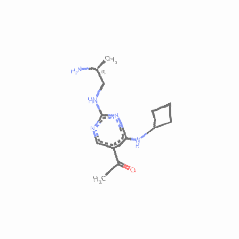 CC(=O)c1cnc(NC[C@H](C)N)nc1NC1CCC1